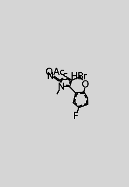 Br.CC(=O)ON=c1sc2c(n1C)-c1cc(F)ccc1OC2